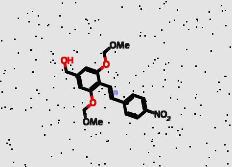 COCOc1cc(CO)cc(OCOC)c1/C=C/c1ccc([N+](=O)[O-])cc1